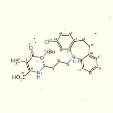 CC(C(=O)OC(C)(C)C)=C(NCCCCN1c2ccccc2CCc2ccc(Cl)cc21)C(=O)O